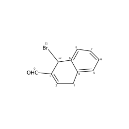 O=CC1=CCc2ccccc2C1Br